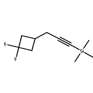 C[Si](C)(C)C#CCC1CC(F)(F)C1